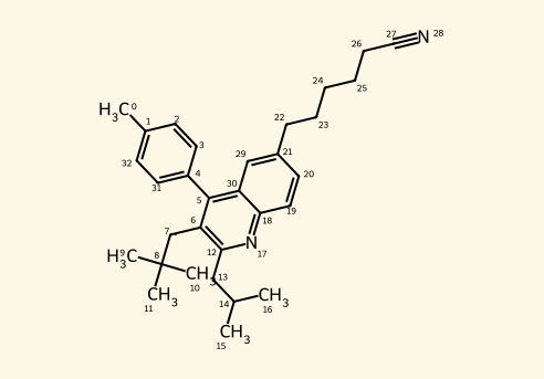 Cc1ccc(-c2c([CH]C(C)(C)C)c(CC(C)C)nc3ccc(CCCCCC#N)cc23)cc1